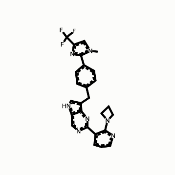 Cn1cc(C(F)(F)F)nc1-c1ccc(Cc2c[nH]c3cnc(-c4cccnc4N4CCC4)nc23)cc1